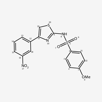 COc1ccc(S(=O)(=O)Nc2nc(-c3cccc([N+](=O)[O-])c3)cs2)cc1